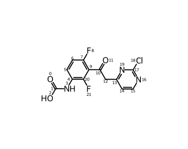 O=C(O)Nc1ccc(F)c(C(=O)Cc2ccnc(Cl)n2)c1F